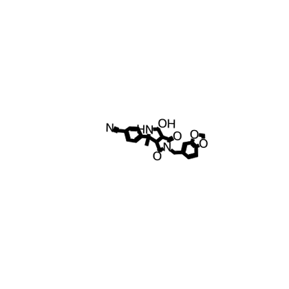 CC1(c2ccc(C#N)cc2)NC(O)C2C(=O)N(Cc3ccc4c(c3)OCO4)C(=O)C21